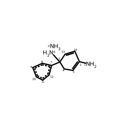 N.NC1=CCC(N)(c2ccccc2)C=C1